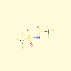 C=S(NS(=O)(=O)C(F)(F)F)C(F)(F)F